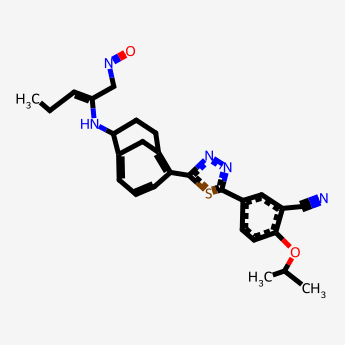 CC/C=C(/CN=O)NC1CCC2=C(c3nnc(-c4ccc(OC(C)C)c(C#N)c4)s3)C=CC=C1C2